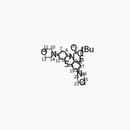 CC(C)(C)OC(=O)N1c2ccc(N3CCOCC3)cc2Sc2cc(N3CCOCC3)cc(F)c21